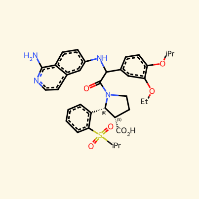 CCOc1cc(C(Nc2ccc3c(N)nccc3c2)C(=O)N2CC[C@H](C(=O)O)[C@@H]2c2ccccc2S(=O)(=O)C(C)C)ccc1OC(C)C